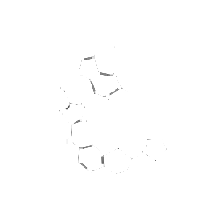 Cc1csc2c(-n3nc(Nc4cnc5c(c4)CC(N4CCCC4)CC5)nc3N)nc(Cl)nc12